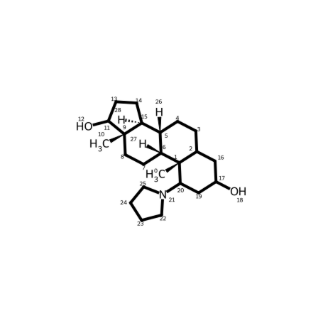 C[C@]12C(CC[C@@H]3[C@H]1CC[C@]1(C)C(O)CC[C@@H]31)CC(O)CC2N1CCCC1